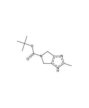 Cc1nc2c([nH]1)CN(C(=O)OC(C)(C)C)C2